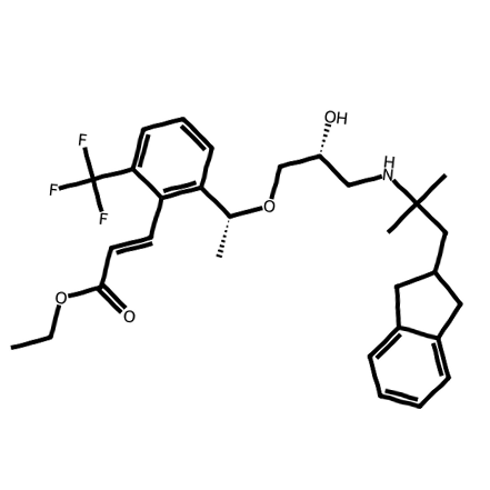 CCOC(=O)/C=C/c1c([C@@H](C)OC[C@H](O)CNC(C)(C)CC2Cc3ccccc3C2)cccc1C(F)(F)F